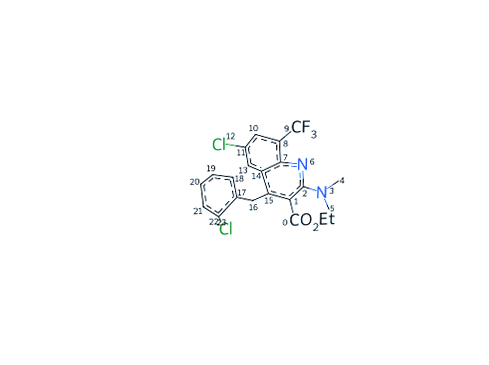 CCOC(=O)c1c(N(C)C)nc2c(C(F)(F)F)cc(Cl)cc2c1Cc1ccccc1Cl